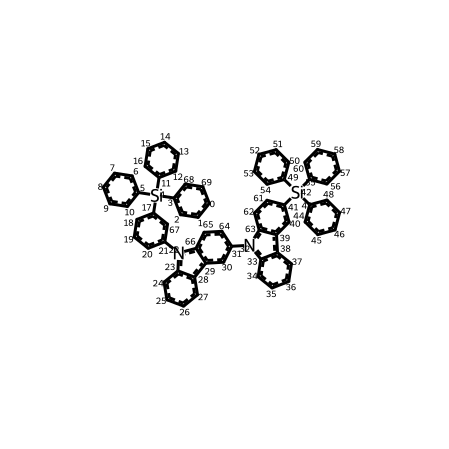 c1ccc([Si](c2ccccc2)(c2ccccc2)c2cccc(-n3c4ccccc4c4cc(-n5c6ccccc6c6cc([Si](c7ccccc7)(c7ccccc7)c7ccccc7)ccc65)ccc43)c2)cc1